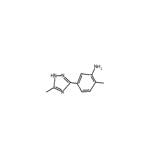 Cc1nc(-c2ccc(C)c(N)c2)n[nH]1